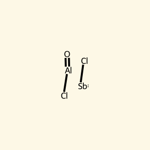 [Cl][Sb].[O]=[Al][Cl]